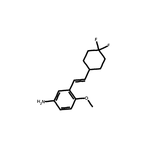 COc1ccc(N)cc1C=CC1CCC(F)(F)CC1